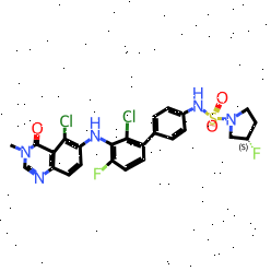 Cn1cnc2ccc(Nc3c(F)ccc(-c4ccc(NS(=O)(=O)N5CC[C@H](F)C5)cc4)c3Cl)c(Cl)c2c1=O